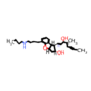 CC#CC[C@H](C)[C@H](O)/C=C/[C@@H]1[C@H]2c3cccc(CCCCNCCCC)c3O[C@H]2C[C@H]1O